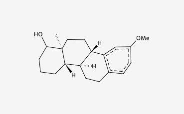 COc1[c]cc2c(c1)[C@H]1CC[C@]3(C)C(O)CCC[C@H]3[C@@H]1CC2